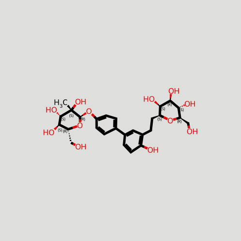 C[C@@]1(O)[C@@H](Oc2ccc(-c3ccc(O)c(CC[C@@H]4O[C@H](CO)[C@@H](O)[C@H](O)[C@@H]4O)c3)cc2)O[C@H](CO)[C@@H](O)[C@@H]1O